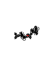 Cc1ccc(N(c2ccc(C)cc2)c2ccc(-c3cnc(/N=c4\c(=O)c(=O)c5cc6cc(-c7cc(C)ccc7N(c7ccc(C)cc7)c7ccc(-c8cc9c(cc(N=c%10c(=O)c%11ccccc%11c%10=O)c%10nsnc%109)c9nsnc89)cc7)ccc6cc45)c4nsnc34)cc2)cc1